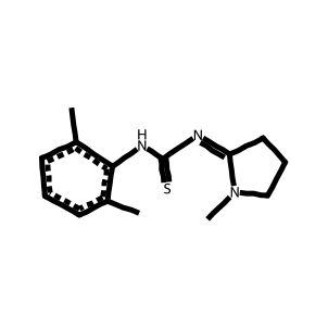 Cc1cccc(C)c1NC(=S)N=C1CCCN1C